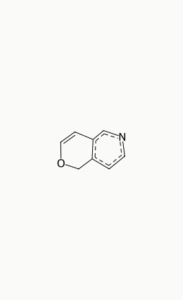 C1=Cc2cnccc2CO1